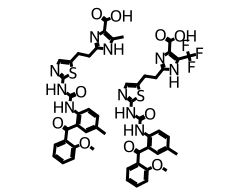 COc1ccccc1C(=O)c1cc(C)ccc1NC(=O)Nc1ncc(CCc2nc(C(=O)O)c(C(F)(F)F)[nH]2)s1.COc1ccccc1C(=O)c1cc(C)ccc1NC(=O)Nc1ncc(CCc2nc(C(=O)O)c(C)[nH]2)s1